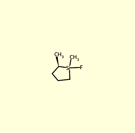 C[C@@H]1CCC[Si]1(C)F